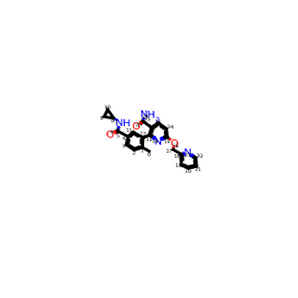 Cc1ccc(C(=O)NC2CC2)cc1-c1nc(OCc2ccccn2)ccc1C(N)=O